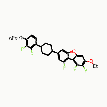 CCCCCc1ccc(C2CCC(c3cc(F)c4c(c3)oc3cc(OCC)c(F)c(F)c34)CC2)c(F)c1F